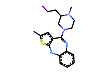 Cc1cc2c(s1)Nc1ccccc1N=C2N1CCN(C)C(CCI)C1